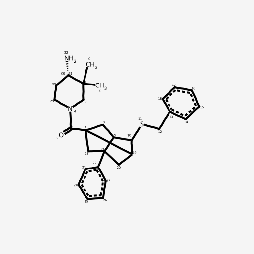 CC1(C)CN(C(=O)C23CC4C(SCc5ccccc5)C2CC4(c2ccccc2)C3)CC[C@@H]1N